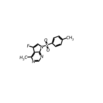 Cc1ccc(S(=O)(=O)n2cc(F)c3c(C)ncnc32)cc1